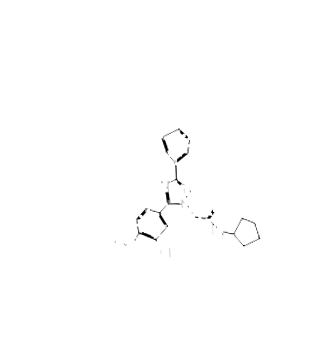 COc1ccc(-c2nc(-c3ccccc3)nn2CC(=O)NC2CCCC2)cc1Cl